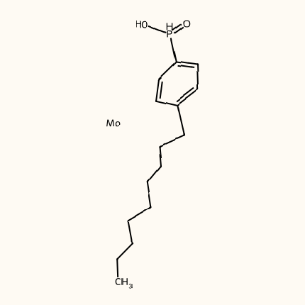 CCCCCCCCCc1ccc([PH](=O)O)cc1.[Mo]